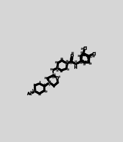 CC(=O)N1CCC(N2CCO[C@@H](CN3CCN(C(=O)Nc4ccc(Cl)c(Cl)c4)CC3)C2)CC1